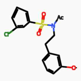 CC(=O)N(CCc1cccc([O])c1)S(=O)(=O)c1cccc(Cl)c1